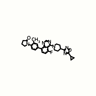 Cc1cc(-c2ccc(F)c3c(N4CCC(c5noc(C6CC6)n5)CC4)ncnc23)ccc1N1CCCC1=O